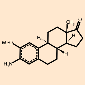 COc1cc2c(cc1N)CC[C@@H]1[C@@H]2CC[C@]2(C)C(=O)CC[C@@H]12